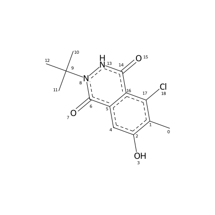 Cc1c(O)cc2c(=O)n(C(C)(C)C)[nH]c(=O)c2c1Cl